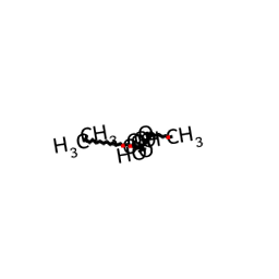 CCCCCCCC(=O)OC(=O)CC(O)(CC(=O)OCCCCCCCCCCCCC(C)C)C(=O)O